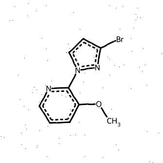 COc1cccnc1-n1[c]cc(Br)n1